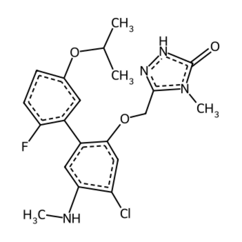 CNc1cc(-c2cc(OC(C)C)ccc2F)c(OCc2n[nH]c(=O)n2C)cc1Cl